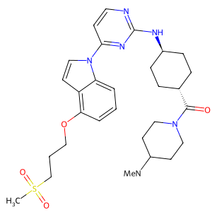 CNC1CCN(C(=O)[C@H]2CC[C@H](Nc3nccc(-n4ccc5c(OCCCS(C)(=O)=O)cccc54)n3)CC2)CC1